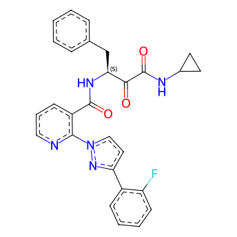 O=C(NC1CC1)C(=O)[C@H](Cc1ccccc1)NC(=O)c1cccnc1-n1ccc(-c2ccccc2F)n1